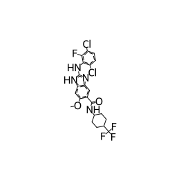 COc1cc2[nH]c(Nc3c(Cl)ccc(Cl)c3F)nc2cc1C(=O)NC1CCC(C(F)(F)F)CC1